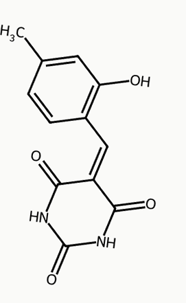 Cc1ccc(C=C2C(=O)NC(=O)NC2=O)c(O)c1